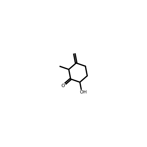 C=C1CCC(O)C(=O)C1C